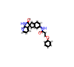 O=C(CCOc1ccccc1)Nc1ccc2c(c1)CC1(C2)C(=O)Nc2ncccc21